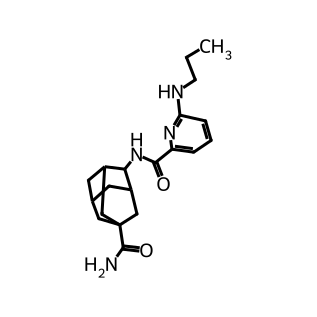 CCCNc1cccc(C(=O)NC2C3CC4CC2CC(C(N)=O)(C4)C3)n1